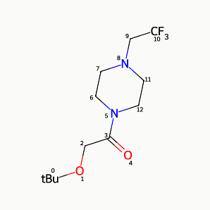 CC(C)(C)OCC(=O)N1CCN(CC(F)(F)F)CC1